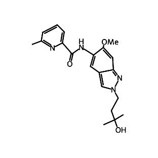 COc1cc2nn(CCC(C)(C)O)cc2cc1NC(=O)c1cccc(C)n1